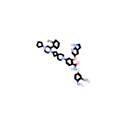 CC(C)c1ccccc1C1CN(C2CCCC2)CCN1C1CC2(CCN(c3ccc(C(=O)NSc4ccc(N)c([N+](=O)[O-])c4)c(Oc4cnc5[nH]ccc5c4)c3)CC2)C1